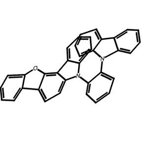 c1ccc(-n2c3ccccc3c3c4oc5ccccc5c4ccc32)c(-n2c3ccccc3c3ccccc32)c1